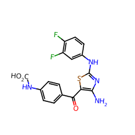 Nc1nc(Nc2ccc(F)c(F)c2)sc1C(=O)c1ccc(NC(=O)O)cc1